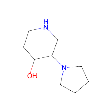 OC1CCNCC1N1CCCC1